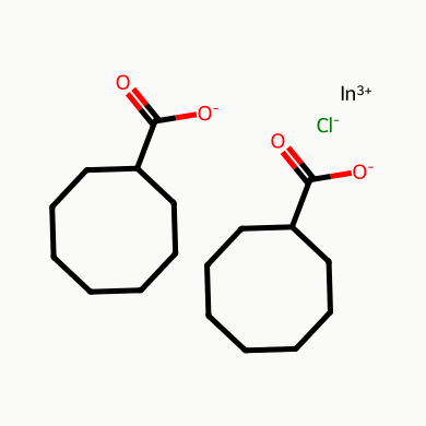 O=C([O-])C1CCCCCCC1.O=C([O-])C1CCCCCCC1.[Cl-].[In+3]